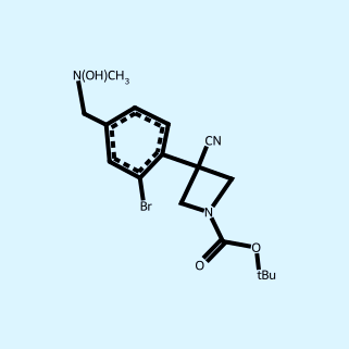 CN(O)Cc1ccc(C2(C#N)CN(C(=O)OC(C)(C)C)C2)c(Br)c1